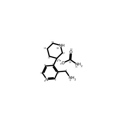 NCc1cnccc1[C@@]1(OC(N)=O)CCCNC1